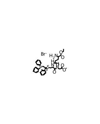 CCOC(=O)C(N)CCC(=O)NC(CSC(=O)C[P+](c1ccccc1)(c1ccccc1)c1ccccc1)C(=O)NCC(=O)OC.[Br-]